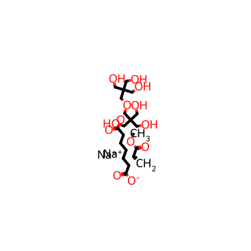 C=CC(=O)OC.O=C([O-])CCCCCC(=O)[O-].OCC(CO)(CO)COCC(CO)(CO)CO.[Na+].[Na+]